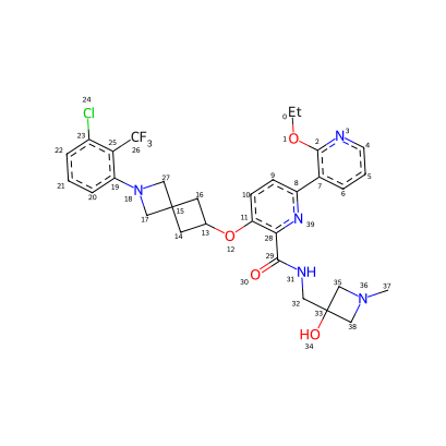 CCOc1ncccc1-c1ccc(OC2CC3(C2)CN(c2cccc(Cl)c2C(F)(F)F)C3)c(C(=O)NCC2(O)CN(C)C2)n1